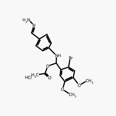 COc1cc(Br)c(C(Nc2ccc(C=NN)cc2)OC(C)=O)cc1OC.Cl